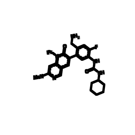 CNc1cc2c(cn1)cc(-c1cc(NC(=O)NC3CCCCC3)c(F)cc1CN)c(=O)n2C(C)C